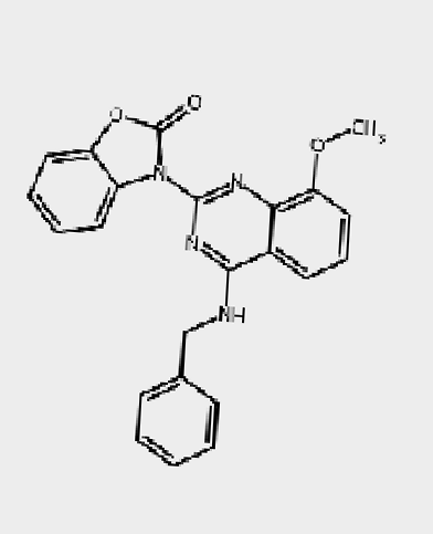 COc1cccc2c(NCc3ccccc3)nc(-n3c(=O)oc4ccccc43)nc12